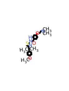 COc1ccc(C(C)(C)c2csc(NC(=O)c3ccc(OCCN(C)C)cc3)n2)cc1